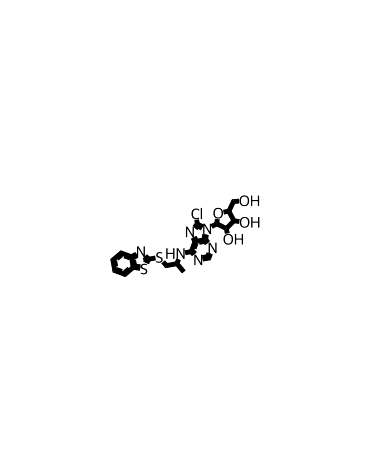 CC(CSc1nc2ccccc2s1)Nc1ncnc2c1nc(Cl)n2C1OC(CO)C(O)C1O